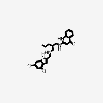 CCCC(CNCc1cc2c(Cl)cc(Cl)cc2[nH]1)CNc1cc(=O)c2ccccc2[nH]1